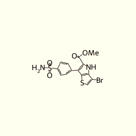 COC(=O)c1[nH]c2c(Br)csc2c1-c1ccc(S(N)(=O)=O)cc1